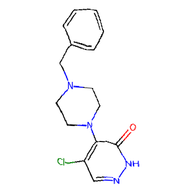 O=c1[nH]ncc(Cl)c1N1CCN(Cc2ccccc2)CC1